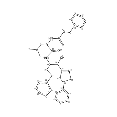 CC(C)CC(NC(=O)OCc1ccccc1)C(=O)NC(CCc1ccccc1)C(O)C1=NCC(c2ccccc2)O1